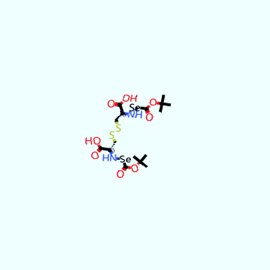 CC(C)(C)OC(=O)[Se]N[C@@H](CSSC[C@H](N[Se]C(=O)OC(C)(C)C)C(=O)O)C(=O)O